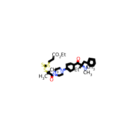 CCOC(=O)CCSC(=S)SC(C)(C)C(=O)N1CCN(C2=CCC(C(=O)C(CC)(Cc3ccccc3)N(C)C)C=C2)CC1